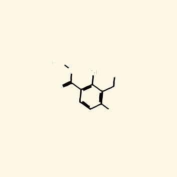 CCc1c(C)ccc(C(=O)OC)c1N